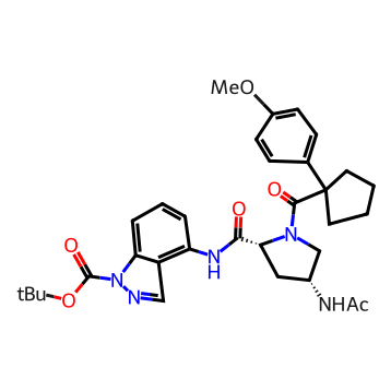 COc1ccc(C2(C(=O)N3C[C@H](NC(C)=O)C[C@@H]3C(=O)Nc3cccc4c3cnn4C(=O)OC(C)(C)C)CCCC2)cc1